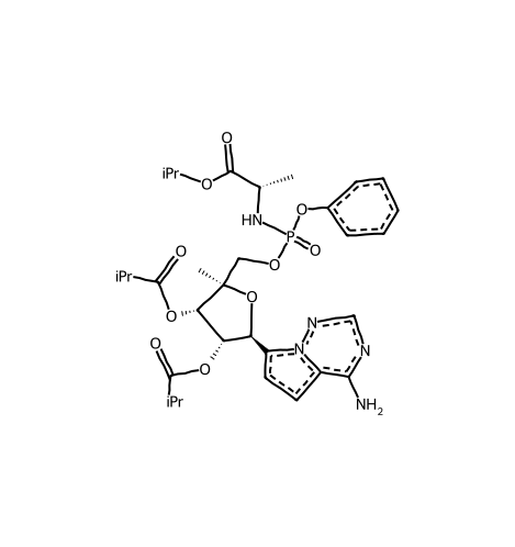 CC(C)OC(=O)[C@H](C)NP(=O)(OC[C@@]1(C)O[C@@H](c2ccc3c(N)ncnn23)[C@H](OC(=O)C(C)C)[C@@H]1OC(=O)C(C)C)Oc1ccccc1